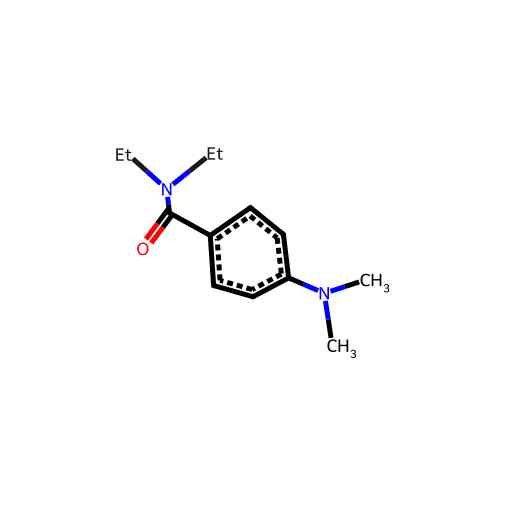 CCN(CC)C(=O)c1ccc(N(C)C)cc1